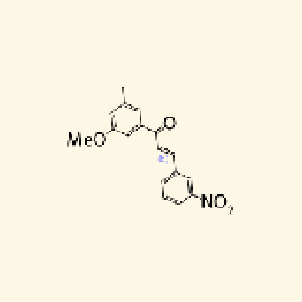 COc1cc(C)cc(C(=O)/C=C/c2cccc([N+](=O)[O-])c2)c1